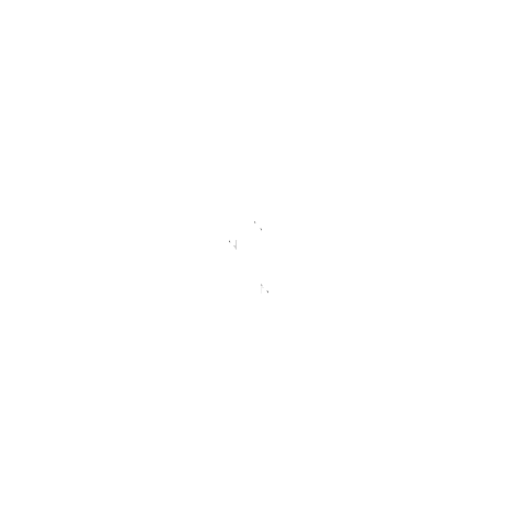 C1=CCN2N=C3CCCC3=NC2=C1